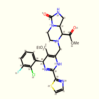 CCOC(=O)C1=C(CN2CCN3C(=O)NCC3C2C(=O)OC)NC(c2nccs2)=N[C@H]1c1cccc(F)c1Cl